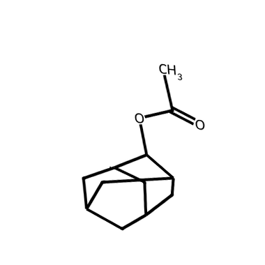 CC(=O)OC1[C]2CC3CC(C2)CC1C3